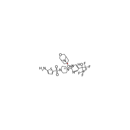 Nc1ccc(S(=O)(=O)N2CCN(c3ncc(C(O)(C(F)(F)F)C(F)(F)F)cn3)[C@@H](CN3C4COCC3CC(O)C4)C2)s1